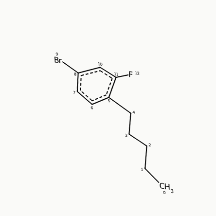 CCCCCc1ccc(Br)cc1F